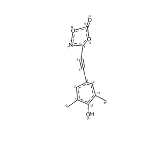 Cc1cc(C#Cc2noc(=O)o2)cc(C)c1O